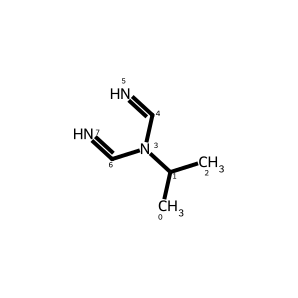 CC(C)N(C=N)C=N